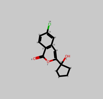 O=c1oc(C2(O)CCCC2)cc2cc(Cl)ccc12